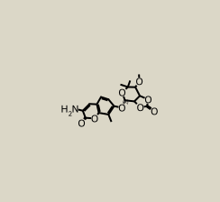 COC1C2OC(=O)OC2[C@H](Oc2ccc3cc(N)c(=O)oc3c2C)OC1(C)C